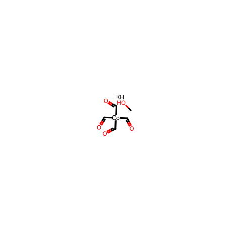 CO.O=[CH][Co]([CH]=O)([CH]=O)[CH]=O.[KH]